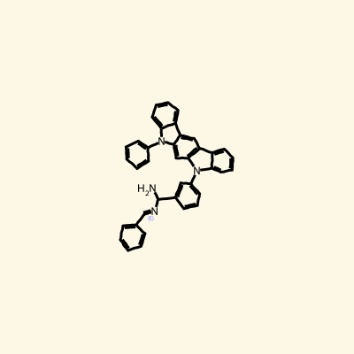 NC(/N=C/c1ccccc1)c1cccc(-n2c3ccccc3c3cc4c5ccccc5n(-c5ccccc5)c4cc32)c1